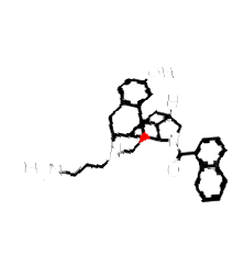 NCCCN1CCC23c4cc(O)ccc4CC1C21CCC2C3[C@@H](CN2C(=O)c2cccc3ccccc23)C1